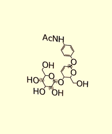 CC(=O)Nc1ccc(O[C@@H]2C=CC(O[C@H]3OC(CO)[C@@H](O)C(O)[C@H]3O)C(CO)O2)cc1